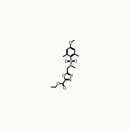 CCOC(=O)c1nnc(CN(C)S(=O)(=O)c2c(C)cc(OC)cc2C)o1